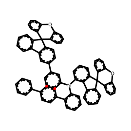 c1ccc(-c2ccc(-c3ccccc3N(c3cccc(-c4ccc5c(c4)-c4ccccc4C54c5ccccc5Oc5ccccc54)c3)c3cccc4c3-c3ccccc3C43c4ccccc4Oc4ccccc43)cc2)cc1